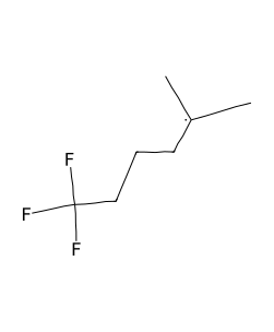 C[C](C)CCCC(F)(F)F